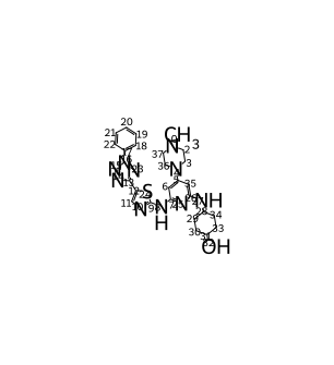 CN1CCN(c2cc(Nc3ncc(-c4nnn(-c5ccccc5)n4)s3)nc(NC3CCC(O)CC3)c2)CC1